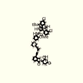 COc1cc(N2CCC[C@@H]([C@@H]3C[C@@H]3C#Cc3cccc4c3CN(C3CCC(=O)NC3=O)C4=O)C2)ccc1NC(=O)[C@@H]1N[C@@H](CC(C)(C)C)[C@@]2(CNc3cc(Cl)ccc32)[C@H]1c1cccc(Cl)c1F